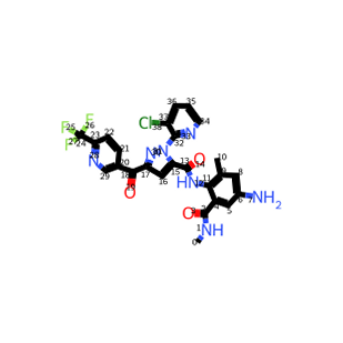 CNC(=O)c1cc(N)cc(C)c1NC(=O)c1cc(C(=O)c2ccc(C(F)(F)F)nc2)nn1-c1ncccc1Cl